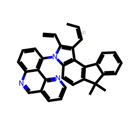 C=Cc1c(/C=C\C)c2c3c(ccc2n1-c1cccc2ncc4cccnc4c12)C(C)(C)c1ccccc1-3